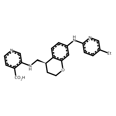 CCc1ccc(Nc2ccc3c(c2)OCC[C@H]3CNc2cnccc2C(=O)O)nc1